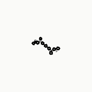 c1ccc(N(c2ccc(-c3ccc(-c4ccc(N(c5ccccc5)c5ccc6c(c5)sc5ccccc56)cc4)cc3)cc2)c2ccc3c(c2)oc2ccccc23)cc1